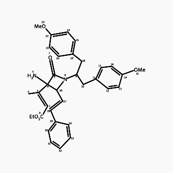 CCOC(=O)C=C(C)C1(N)C(=O)N(C(Cc2ccc(OC)cc2)Cc2ccc(OC)cc2)C1C=Cc1ccccc1